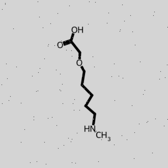 CNCCCCCOCC(=O)O